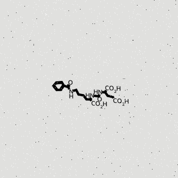 O=C(O)CCC(NC(=O)NC(CCCCNC(=O)c1ccccc1)C(=O)O)C(=O)O